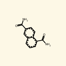 NC(=O)c1ccc2c(C(N)=O)cccc2c1